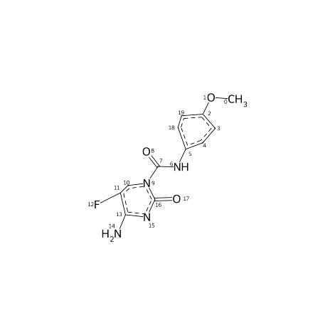 COc1ccc(NC(=O)n2cc(F)c(N)nc2=O)cc1